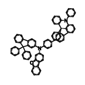 c1ccc(N2c3ccccc3C3(c4ccccc4)c4cc(-c5ccc(N(c6ccc7c(c6)C(c6ccccc6)(c6ccccc6)c6ccccc6-7)c6ccc7c(c6)oc6ccccc67)cc5)ccc4-c4cccc2c43)cc1